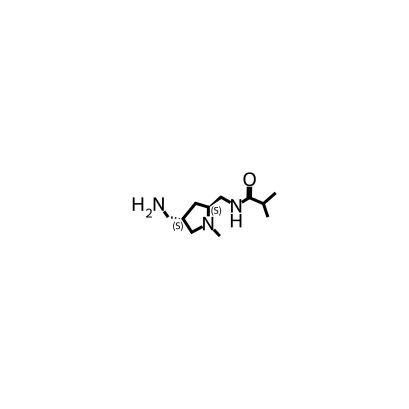 CC(C)C(=O)NC[C@@H]1C[C@@H](CN)CN1C